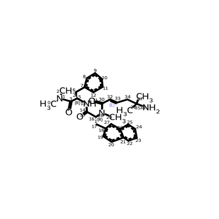 CN(C)C(=O)[C@@H](Cc1ccccc1)NC(=O)[C@@H](Cc1ccc2ccccc2c1)N(C)C(=O)/C=C/CC(C)(C)N